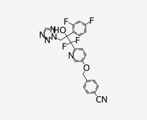 N#Cc1ccc(COc2ccc(C(F)(F)C(O)(Cn3ncnn3)c3ccc(F)cc3F)nc2)cc1